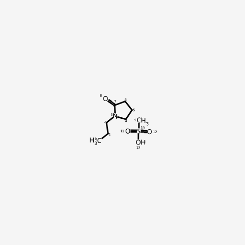 CCCN1CCCC1=O.CS(=O)(=O)O